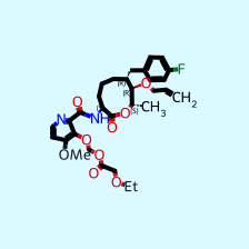 C=CCO[C@@H]1[C@@H](Cc2ccc(F)cc2)CCC[C@H](NC(=O)c2nccc(OC)c2OCOC(=O)COCC)C(=O)O[C@H]1C